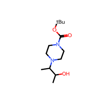 CC(O)C(C)N1CCN(C(=O)OC(C)(C)C)CC1